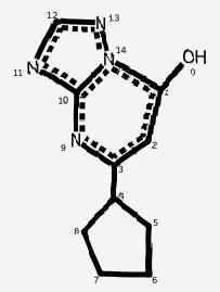 Oc1cc(C2CCCC2)nc2ncnn12